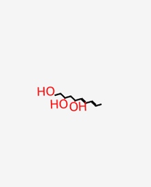 CC=CC=C[C@@H](O)C[C@@H](O)CCO